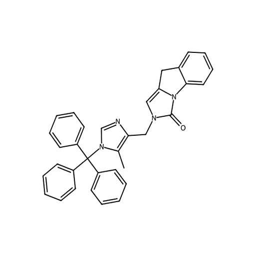 Cc1c(Cn2cc3n(c2=O)-c2ccccc2C3)ncn1C(c1ccccc1)(c1ccccc1)c1ccccc1